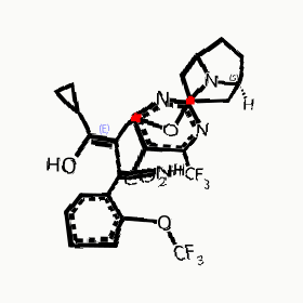 N=C(/C(COC1CC2CC[C@@H](C1)N2c1ncc(C(=O)O)c(C(F)(F)F)n1)=C(\O)C1CC1)c1ccccc1OC(F)(F)F